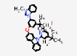 C[n+]1cn(-c2cc(Oc3ccc4c5ccccc5n(-c5cc(C(C)(C)C)ccn5)c4c3)cc(C(C)(C)C)c2)c2ccccc21.[I-]